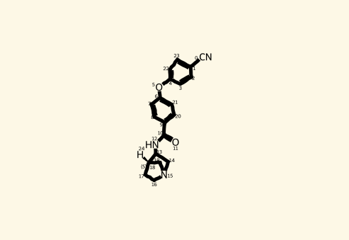 N#Cc1ccc(Oc2ccc(C(=O)NC3CN4CC[C@H]3C4)cc2)cc1